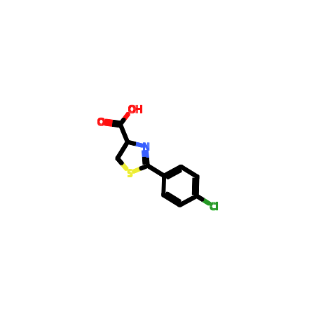 O=C(O)C1CSC(c2ccc(Cl)cc2)=N1